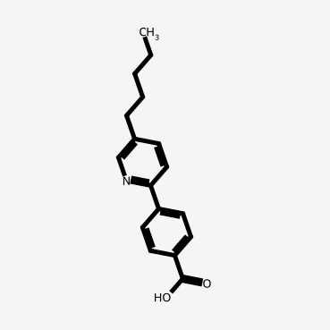 CCCCCc1ccc(-c2ccc(C(=O)O)cc2)nc1